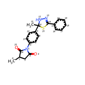 CC1CC(=O)N(c2ccc(C3(C)NN=C(c4ccccc4)S3)cc2)C1=O